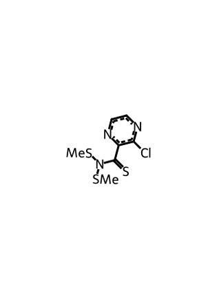 CSN(SC)C(=S)c1nccnc1Cl